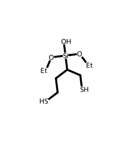 CCO[Si](O)(OCC)C(CS)CCS